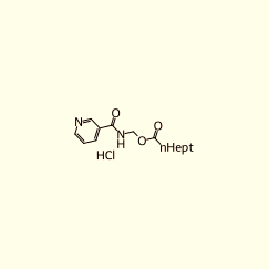 CCCCCCCC(=O)OCNC(=O)c1cccnc1.Cl